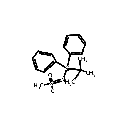 CC(C)(C)[Si](N=S(C)(=O)Cl)(c1ccccc1)c1ccccc1